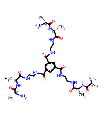 CC(C)[C@@H](N)C(=O)N[C@H](C)C(=O)NCCNC(=O)c1cc(C(=O)NCCNC(=O)[C@@H](C)NC(=O)[C@H](N)C(C)C)cc(C(=O)NCCNC(=O)[C@@H](C)NC(=O)[C@H](N)C(C)C)c1